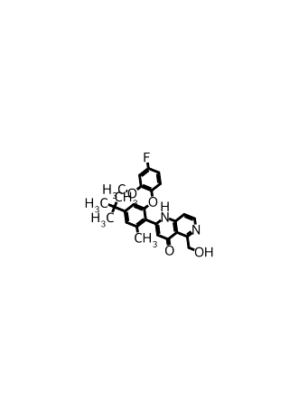 COc1cc(F)ccc1Oc1cc(C(C)(C)C)cc(C)c1-c1cc(=O)c2c(CO)nccc2[nH]1